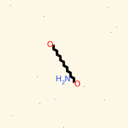 NC(CC=O)CCCCCCCCCCC=O